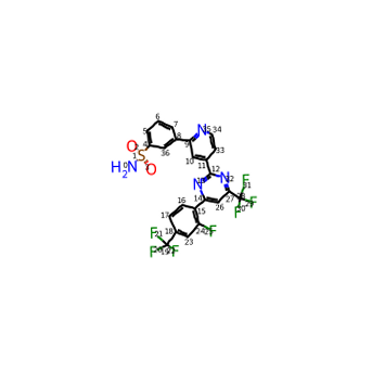 NS(=O)(=O)c1cccc(-c2cc(-c3nc(-c4ccc(C(F)(F)F)cc4F)cc(C(F)(F)F)n3)ccn2)c1